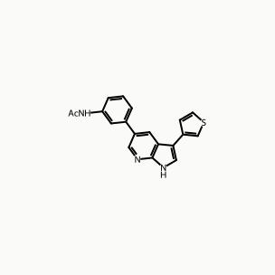 CC(=O)Nc1cccc(-c2cnc3[nH]cc(-c4ccsc4)c3c2)c1